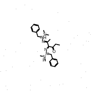 CCC(=O)C(=NN(Cc1ccccc1)[SiH](C)C)C(C)=NN(Cc1ccccc1)[SiH](C)C